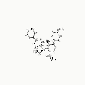 CNc1ccc(N2CCN(C)CC2)c(Nc2cc(-c3cccnc3)nc3[nH]ccc23)c1